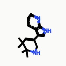 CC1(C)C=C(c2c[nH]c3ncccc23)CNC1(C)C